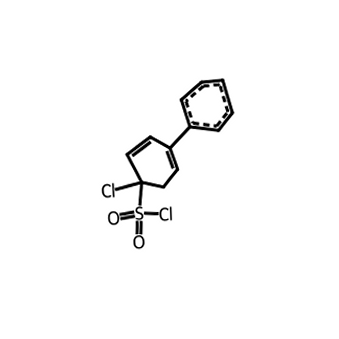 O=S(=O)(Cl)C1(Cl)C=CC(c2ccccc2)=CC1